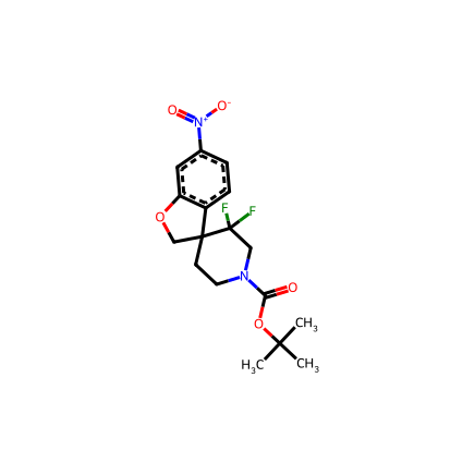 CC(C)(C)OC(=O)N1CCC2(COc3cc([N+](=O)[O-])ccc32)C(F)(F)C1